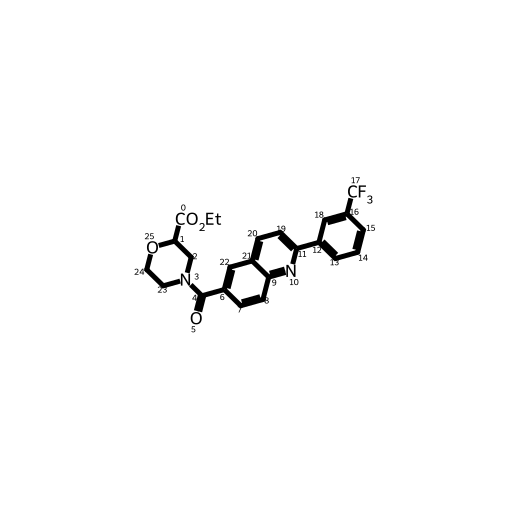 CCOC(=O)C1CN(C(=O)c2ccc3nc(-c4cccc(C(F)(F)F)c4)ccc3c2)CCO1